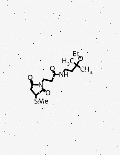 CCOC(C)(C)CCNC(=O)CCN1C(=O)CC(SC)C1=O